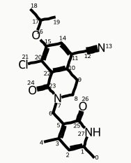 Cc1cc(C)c(CN2CCc3c(C#N)cc(OC(C)C)c(Cl)c3C2=O)c(=O)[nH]1